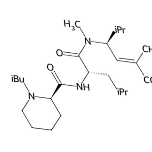 CCOC(=O)/C(C)=C/[C@H](C(C)C)N(C)C(=O)[C@H](CC(C)C)NC(=O)[C@H]1CCCCN1C(C)CC